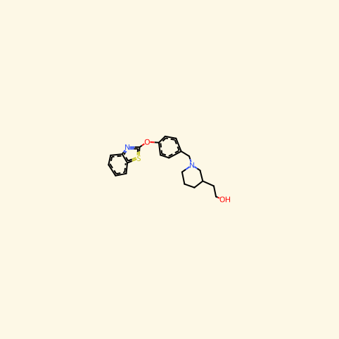 OCCC1CCCN(Cc2ccc(Oc3nc4ccccc4s3)cc2)C1